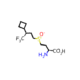 N[C@@H](CC[S+]([O-])CCC(C1CCC1)C(F)(F)F)C(=O)O